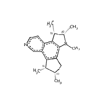 C[C@@H]1c2c(c3c(c4ccncc24)[C@H](C)[C@H](C)N3C)C[C@@H]1C